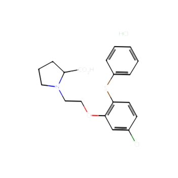 Cl.O=C(O)C1CCCN1CCOc1cc(Cl)ccc1Sc1ccccc1